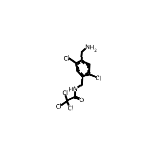 NCc1cc(Cl)c(CNC(=O)C(Cl)(Cl)Cl)cc1Cl